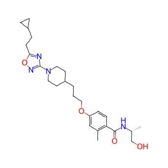 Cc1cc(OCCCC2CCN(c3noc(CCC4CC4)n3)CC2)ccc1C(=O)N[C@H](C)CO